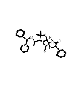 CC1(C)S[C@H]2N(C(=O)C23NC(=O)C(c2ccccc2)O3)C1C(=O)OC(c1ccccc1)c1ccccc1